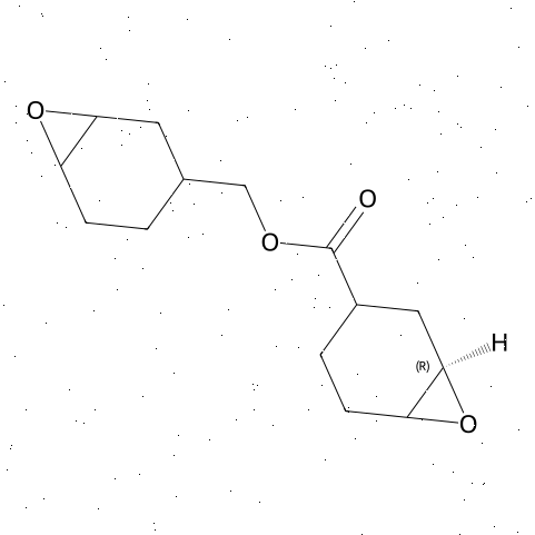 O=C(OCC1CCC2OC2C1)C1CCC2O[C@@H]2C1